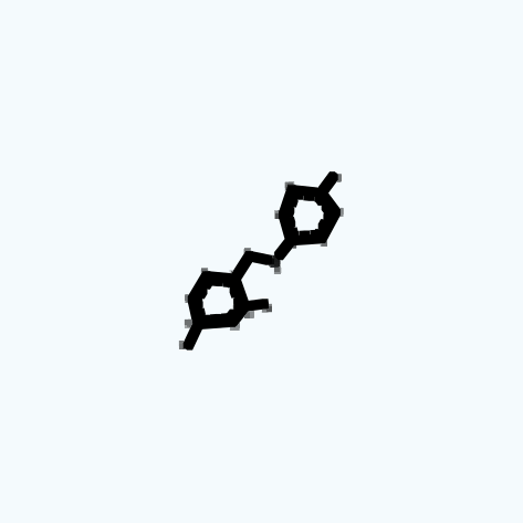 Cc1ccc(OCc2ccc(C)cc2C)cc1